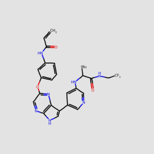 C=CC(=O)Nc1cccc(Oc2cnc3[nH]cc(-c4cncc(NC(C(=O)NCC(F)(F)F)C(C)(C)C)c4)c3n2)c1